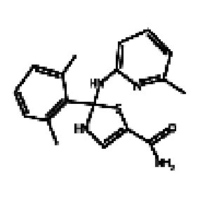 Cc1cccc(NC2(c3c(C)cccc3C)NC=C(C(N)=O)S2)n1